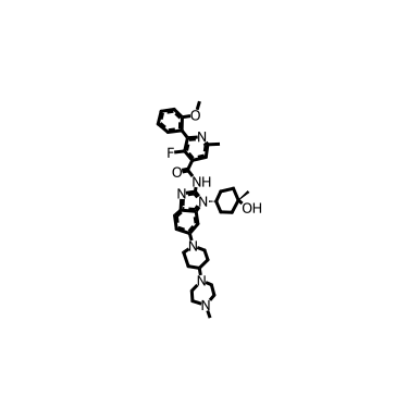 COc1ccccc1-c1nc(C)cc(C(=O)Nc2nc3ccc(N4CCC(N5CCN(C)CC5)CC4)cc3n2[C@H]2CC[C@@](C)(O)CC2)c1F